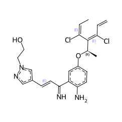 C=C/C(Cl)=C(\C(Cl)=C/C)[C@@H](C)Oc1ccc(N)c(C(=N)/C=C/c2cnn(CCO)c2)c1